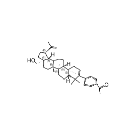 C=C(C)[C@@H]1CC[C@]2(CO)CC[C@]3(C)C(CC[C@@H]4[C@@]5(C)CC=C(c6ccc(C(C)=O)cc6)C(C)(C)[C@@H]5CC[C@]43C)[C@@H]12